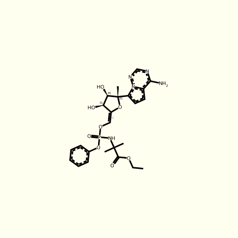 CCOC(=O)C(C)(C)NP(=O)(O/C=C1/O[C@@](C)(c2ccc3c(N)ncnn23)[C@H](O)[C@@H]1O)Oc1ccccc1